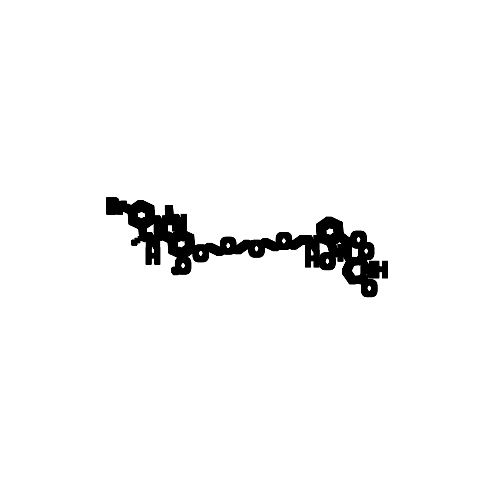 COc1cc2c(N[C@H](C)c3cccc(Br)c3)nc(C)nc2cc1OCCOCCOCCOCCNc1cccc2c1C(=O)N(C1CCC(=O)NC1=O)C2=O